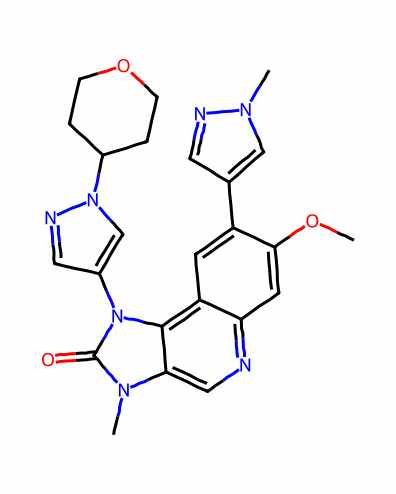 COc1cc2ncc3c(c2cc1-c1cnn(C)c1)n(-c1cnn(C2CCOCC2)c1)c(=O)n3C